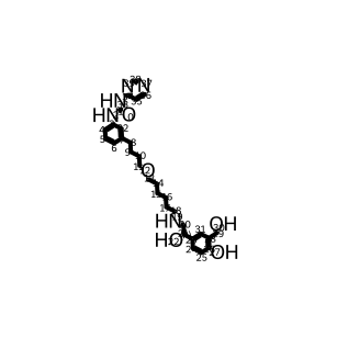 O=C(Nc1cccc(CCCCOCCCCCCNC[C@H](O)c2ccc(O)c(CO)c2)c1)Nc1ccncn1